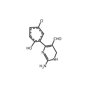 NC1=NC(c2cc(Cl)ccc2O)=C(C=O)CN1